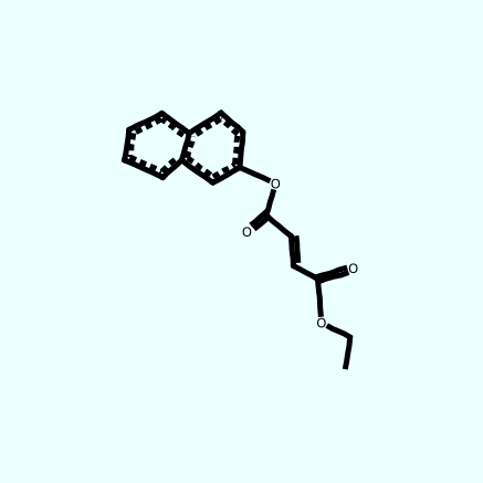 CCOC(=O)/C=C/C(=O)Oc1ccc2ccccc2c1